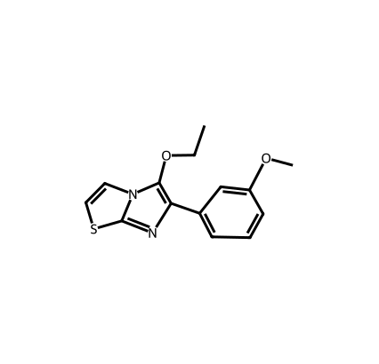 CCOc1c(-c2cccc(OC)c2)nc2sccn12